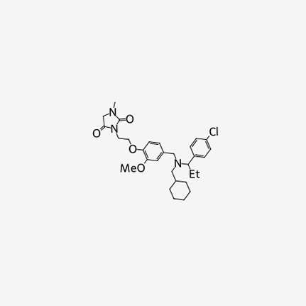 CCC(c1ccc(Cl)cc1)N(Cc1ccc(OCCN2C(=O)CN(C)C2=O)c(OC)c1)CC1CCCCC1